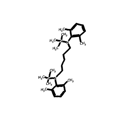 Cc1cccc(C)c1N(CCCCCN(c1c(C)cccc1C)[Si](C)(C)C)[Si](C)(C)C